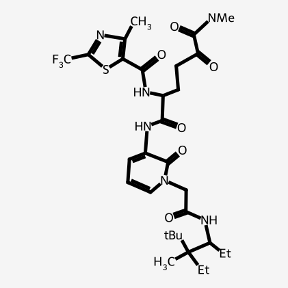 CCC(NC(=O)Cn1cccc(NC(=O)C(CCC(=O)C(=O)NC)NC(=O)c2sc(C(F)(F)F)nc2C)c1=O)C(C)(CC)C(C)(C)C